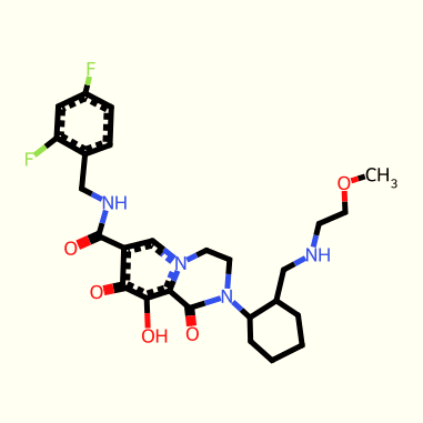 COCCNCC1CCCCC1N1CCn2cc(C(=O)NCc3ccc(F)cc3F)c(=O)c(O)c2C1=O